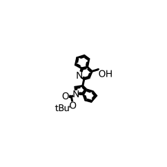 CC(C)(C)OC(=O)n1cc(-c2cc(CO)c3ccccc3n2)c2ccccc21